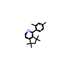 Cc1ccc(-c2nccc3c2C(C)(C)CC3(C)C)c(C)c1